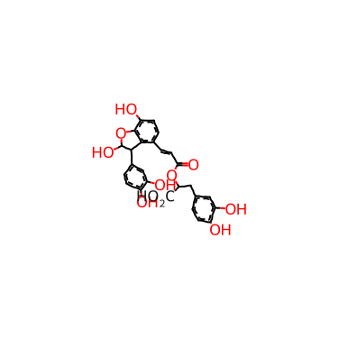 O=C(C=Cc1ccc(O)c2c1C(c1ccc(O)c(O)c1)C(O)O2)OC(Cc1ccc(O)c(O)c1)C(=O)O